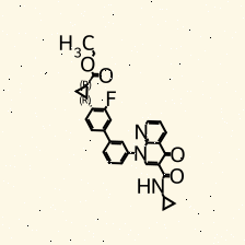 CCOC(=O)[C@@H]1C[C@H]1c1ccc(-c2cccc(-n3cc(C(=O)NC4CC4)c(=O)c4cccnc43)c2)cc1F